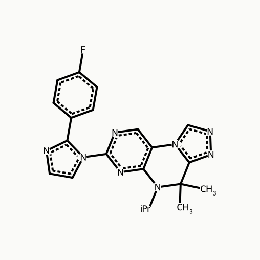 CC(C)N1c2nc(-n3ccnc3-c3ccc(F)cc3)ncc2-n2cnnc2C1(C)C